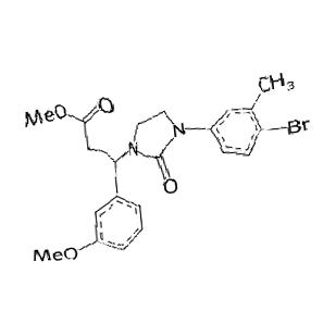 COC(=O)CC(c1cccc(OC)c1)N1CCN(c2ccc(Br)c(C)c2)C1=O